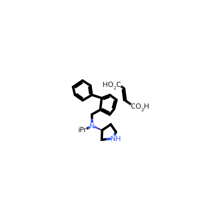 CC(C)N(Cc1ccccc1-c1ccccc1)[C@H]1CCNC1.O=C(O)/C=C/C(=O)O